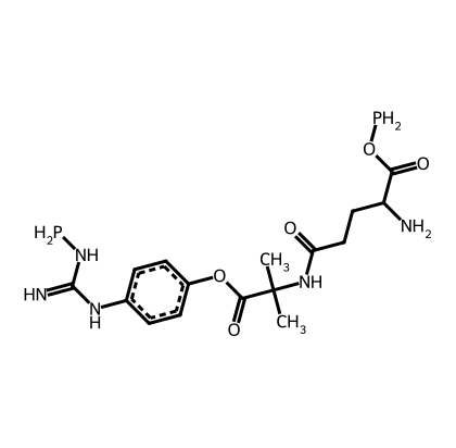 CC(C)(NC(=O)CCC(N)C(=O)OP)C(=O)Oc1ccc(NC(=N)NP)cc1